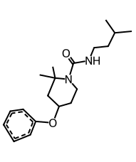 CC(C)CCNC(=O)N1CCC(Oc2ccccc2)CC1(C)C